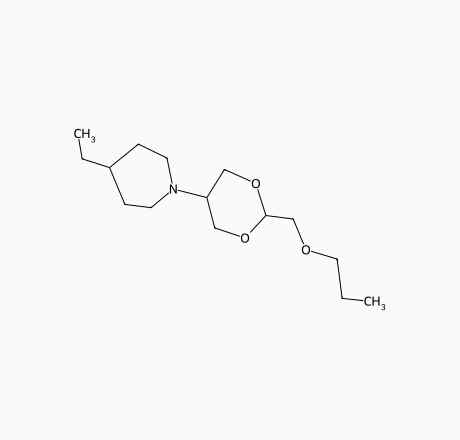 CCCOCC1OCC(N2CCC(CC)CC2)CO1